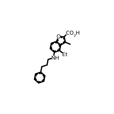 CCc1c(NCCCc2ccccc2)ccc2oc(C(=O)O)c(C)c12